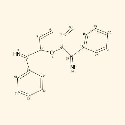 C=CC(OC(C=C)C(=N)c1ccccc1)C(=N)c1ccccc1